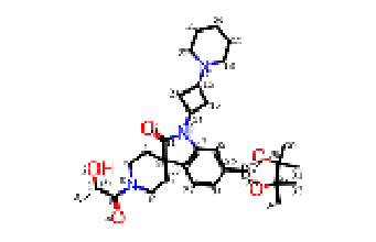 C[C@H](O)C(=O)N1CCC2(CC1)C(=O)N(C1CC(N3CCCCC3)C1)c1cc(B3OC(C)(C)C(C)(C)O3)ccc12